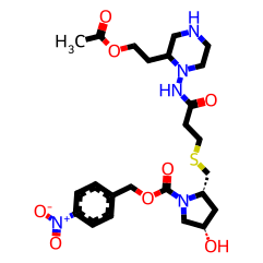 CC(=O)OCCC1CNCCN1NC(=O)CCSC[C@@H]1C[C@H](O)CN1C(=O)OCc1ccc([N+](=O)[O-])cc1